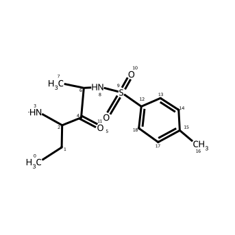 CCC([NH])C(=O)C(C)NS(=O)(=O)c1ccc(C)cc1